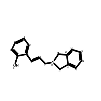 Oc1ccccc1/C=C/CN1Cc2ccccc2C1